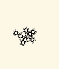 c1ccc(-c2ccc(-c3nc(-n4c5ccccc5c5c6ccccc6c6c7ccccc7oc6c54)nc4ccccc34)cc2)cc1